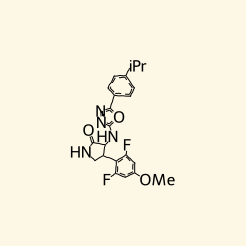 COc1cc(F)c(C2CNC(=O)C2Nc2nnc(-c3ccc(C(C)C)cc3)o2)c(F)c1